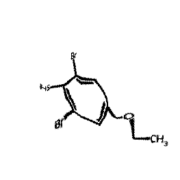 CCOc1cc(Br)c(S)c(Br)c1